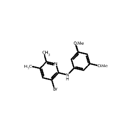 COc1cc(Nc2nc(C)c(C)cc2Br)cc(OC)c1